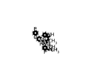 C[C@@H](c1c[nH]c2ccccc12)[C@@H](NC(=O)N1CCC(Oc2ccc(F)cc2)CC1)C(=O)Nc1ccc(F)c(CN(C)C)c1